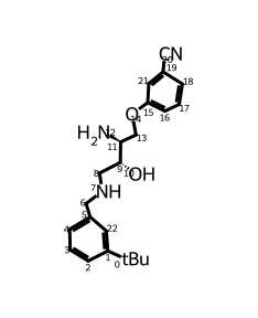 CC(C)(C)c1cccc(CNC[C@@H](O)[C@@H](N)COc2cccc(C#N)c2)c1